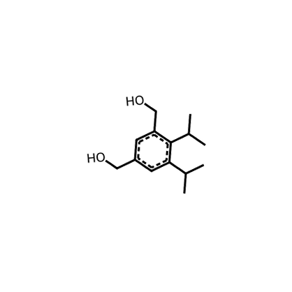 CC(C)c1cc(CO)cc(CO)c1C(C)C